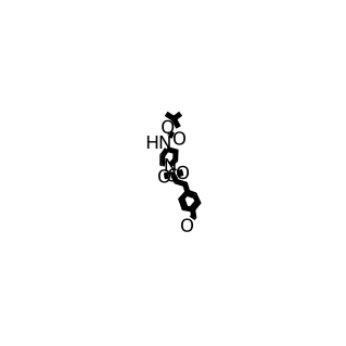 CC(C)(C)OC(=O)NC1CCN(S(=O)(=O)CCc2ccc(C=O)cc2)CC1